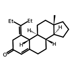 CCC(CC)=C1CC(=O)C=C2CC[C@@H]3[C@H](CC[C@]4(C)CCC[C@@H]34)[C@H]21